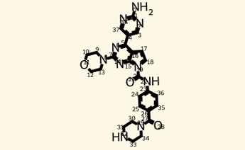 Nc1ncc(-c2nc(N3CCOCC3)nc3c2ccn3C(=O)Nc2ccc(C(=O)N3CCNCC3)cc2)cn1